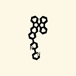 c1ccc(-c2ccc(-c3ccc4cc5c(cc4c3)C3(c4ccccc4-c4ccccc43)c3ccccc3-5)cn2)nc1